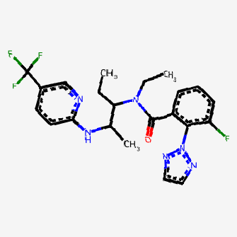 CCC(C(C)Nc1ccc(C(F)(F)F)cn1)N(CC)C(=O)c1cccc(F)c1-n1nccn1